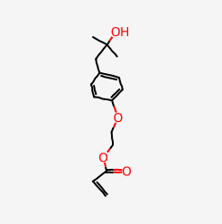 C=CC(=O)OCCOc1ccc(CC(C)(C)O)cc1